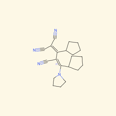 N#CC(C#N)=C(/C(C#N)=C(\C1CCCC1)N1CCCC1)C1CCCC1